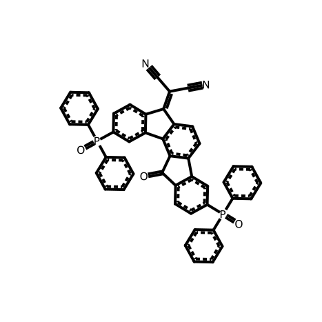 N#CC(C#N)=C1c2ccc(P(=O)(c3ccccc3)c3ccccc3)cc2-c2c1ccc1c2C(=O)c2ccc(P(=O)(c3ccccc3)c3ccccc3)cc2-1